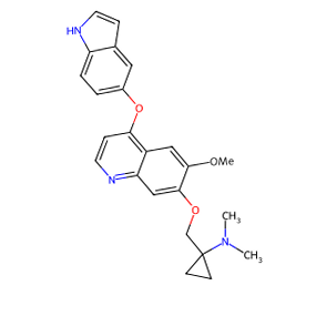 COc1cc2c(Oc3ccc4[nH]ccc4c3)ccnc2cc1OCC1(N(C)C)CC1